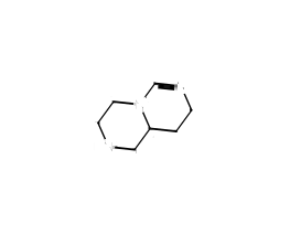 C1=NCCC2CNCCN12